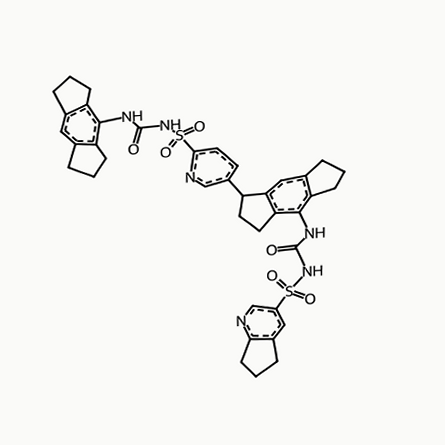 O=C(Nc1c2c(cc3c1CCC3c1ccc(S(=O)(=O)NC(=O)Nc3c4c(cc5c3CCC5)CCC4)nc1)CCC2)NS(=O)(=O)c1cnc2c(c1)CCC2